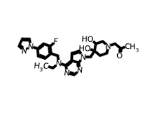 CCN(Cc1ccc(-n2cccn2)cc1F)c1ncnc2c1ccn2CC1(O)CCN(CC(C)=O)CC1O